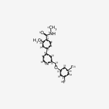 CNC(=O)c1ccc(-c2ccnc(COc3cc(F)cc(F)c3)c2)cc1C